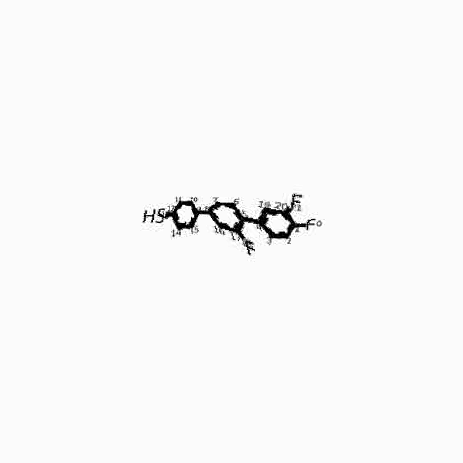 Fc1ccc(-c2ccc(-c3ccc(S)cc3)cc2F)cc1F